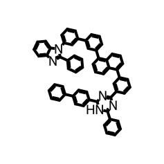 c1ccc(C2=NC(c3cccc(-c4cccc5c(-c6cccc(-c7cccc(-n8c(-c9ccccc9)nc9ccccc98)c7)c6)cccc45)c3)=NC(c3ccc(-c4ccccc4)cc3)N2)cc1